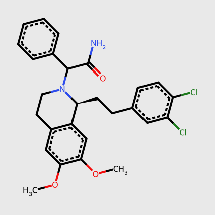 COc1cc2c(cc1OC)[C@H](CCc1ccc(Cl)c(Cl)c1)N(C(C(N)=O)c1ccccc1)CC2